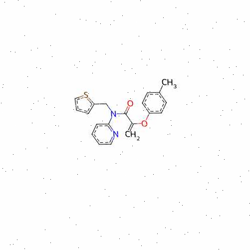 C=C(Oc1ccc(C)cc1)C(=O)N(Cc1cccs1)c1ccccn1